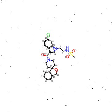 CS(=O)(=O)NCCn1cc(C(=O)N2CCC3(CC2)OCc2ccccc23)c2ccc(Cl)cc21